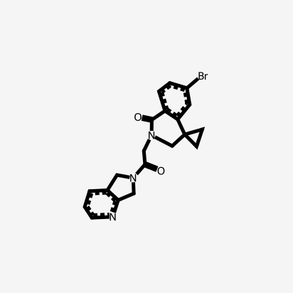 O=C(CN1CC2(CC2)c2cc(Br)ccc2C1=O)N1Cc2cccnc2C1